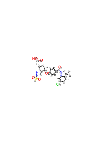 CS(=O)(=O)NCc1cc(CC(=O)O)ccc1Oc1ccc(C(=O)NCC2(c3ccc(Cl)cc3)CC2)cc1